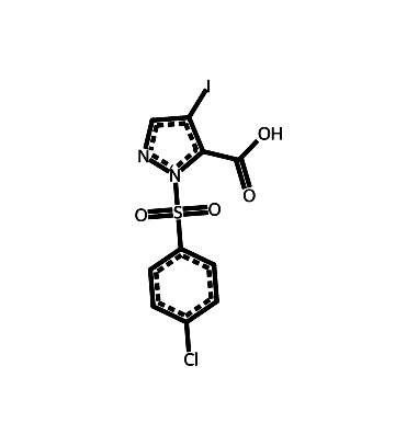 O=C(O)c1c(I)cnn1S(=O)(=O)c1ccc(Cl)cc1